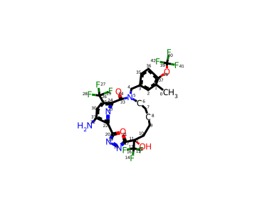 Cc1cc(CN2CCCCC[C@](O)(C(F)(F)F)c3nnc(o3)-c3nc(c(C(F)(F)F)cc3N)C2=O)ccc1OC(F)(F)F